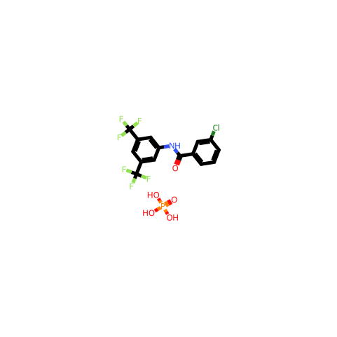 O=C(Nc1cc(C(F)(F)F)cc(C(F)(F)F)c1)c1cccc(Cl)c1.O=P(O)(O)O